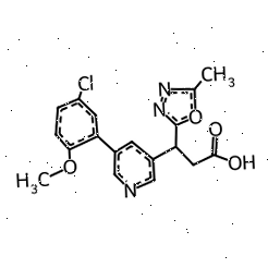 COc1ccc(Cl)cc1-c1cncc(C(CC(=O)O)c2nnc(C)o2)c1